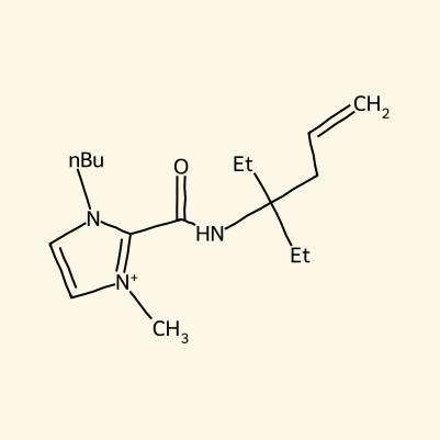 C=CCC(CC)(CC)NC(=O)c1n(CCCC)cc[n+]1C